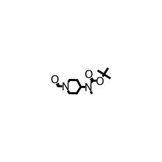 CN(C(=O)OC(C)(C)C)C1CCN(C=O)CC1